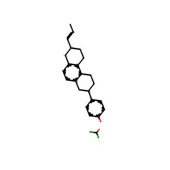 C/C=C/C1CCc2c(ccc3c2CCC(c2ccc(OC(F)F)cc2)C3)C1